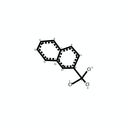 ClC(Cl)(Cl)c1ccc2ccc[c]c2c1